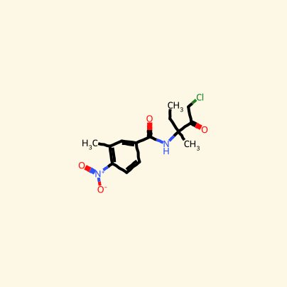 CCC(C)(NC(=O)c1ccc([N+](=O)[O-])c(C)c1)C(=O)CCl